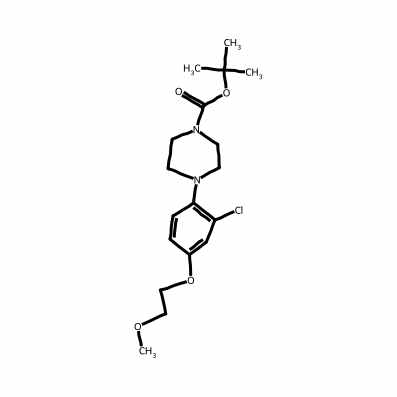 COCCOc1ccc(N2CCN(C(=O)OC(C)(C)C)CC2)c(Cl)c1